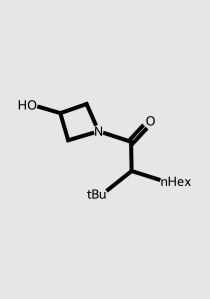 CCCCCCC(C(=O)N1CC(O)C1)C(C)(C)C